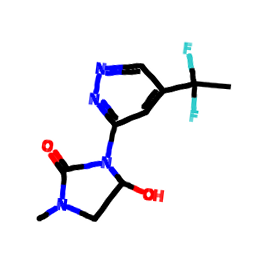 CN1CC(O)N(c2cc(C(C)(F)F)cnn2)C1=O